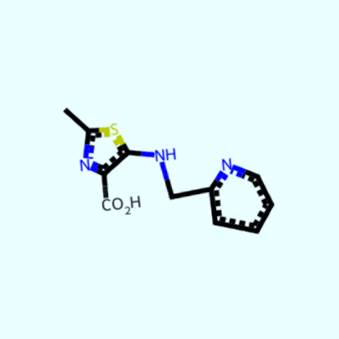 Cc1nc(C(=O)O)c(NCc2ccccn2)s1